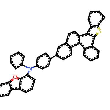 c1ccc(N(c2ccc(-c3ccc4c(ccc5c4c4ccccc4c4sc6ccccc6c54)c3)cc2)c2cccc3c2oc2ccccc23)cc1